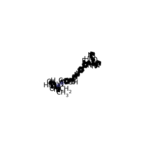 C=c1/c(=C\N=C(/C)N2CCC(O)(CC(=O)N3CC4(C3)CN(c3ccc(-c5cc(F)c6cn(C(C(=O)Nc7nccs7)c7ncn8c7CCC8)nc6c5)cc3)C4)CC2)c(N2CCC(=O)NC2=O)nn1C